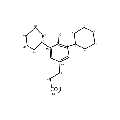 Cc1c(C2CCCCC2)cc(CCC(=O)O)cc1C1CCCCC1